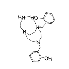 Oc1ccccc1CN1CCN2CCNCC[N+](Cc3ccccc3O)(CC2)CC1